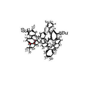 Cc1cc2c3c(c1)N(c1ccc(C(C)(C)C)cc1-c1ccccc1)c1cc4c(cc1B3c1ccc(N3c5ccccc5C5(C)CCc6ccccc6C35C)cc1N2c1ccc(C(C)(C)C)cc1Cc1ccccc1)CC(C)(C)C4